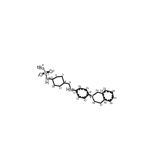 CC(C)(C)S(=O)(=O)NC1CCC(CNc2ccc(N3CCc4ccccc4C3)cc2)CC1